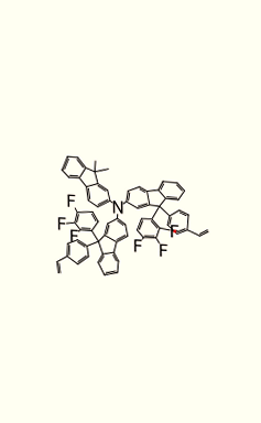 C=Cc1ccc(C2(c3ccc(F)c(F)c3F)c3ccccc3-c3ccc(N(c4ccc5c(c4)C(C)(C)c4ccccc4-5)c4ccc5c(c4)C(c4ccc(C=C)cc4)(c4ccc(F)c(F)c4F)c4ccccc4-5)cc32)cc1